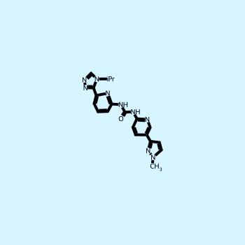 CC(C)n1cnnc1-c1cccc(NC(=O)Nc2ccc(-c3ccn(C)n3)cn2)n1